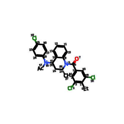 CCc1c(Cl)cc(C(=O)N2c3ccccc3[C@H](N(C(C)=O)c3ccc(Cl)cc3)C[C@H]2C)cc1Cl